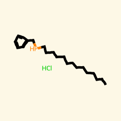 CCCCCCCCCCCCCCPCc1ccccc1.Cl